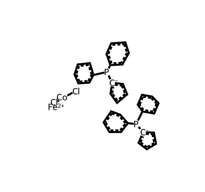 [Cl][Co][Cl].[Fe+2].c1ccc(P(c2ccccc2)[c-]2cccc2)cc1.c1ccc(P(c2ccccc2)[c-]2cccc2)cc1